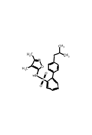 Cc1noc(NS(=O)(=O)c2ccccc2-c2ccc(CC(C)C)cc2)c1C